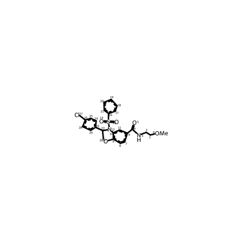 COCCNC(=O)c1ccc2c(c1)N(S(=O)(=O)c1ccccc1)C(c1ccc(Cl)cc1)CO2